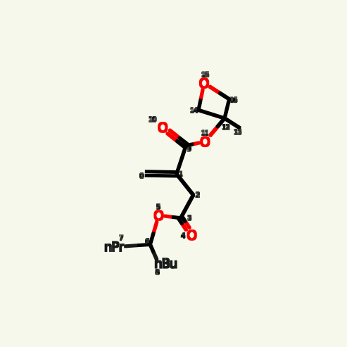 C=C(CC(=O)OC(CCC)CCCC)C(=O)OC1(C)COC1